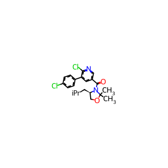 CC(C)C[C@@H]1COC(C)(C)N1C(=O)c1cnc(Cl)c(-c2ccc(Cl)cc2)c1